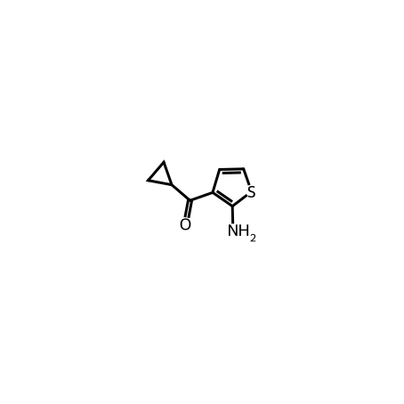 Nc1sccc1C(=O)C1CC1